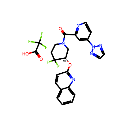 O=C(O)C(F)(F)F.O=C(c1cc(-n2nccn2)ccn1)N1CCC(F)(F)[C@@H](Oc2ccc3ccccc3n2)C1